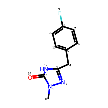 Cn1nc(Cc2ccc(F)cc2)[nH]c1=O